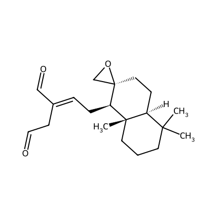 CC1(C)CCC[C@@]2(C)[C@H]1CC[C@@]1(CO1)[C@@H]2C/C=C(/C=O)CC=O